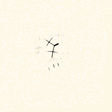 CC(C)=O.CC(C)=O.CC(C)=O.CCCCCCC(CCCCCC)(CCCCCC)C(=O)C(CCCCCC)(CCCCCC)CCCCCC